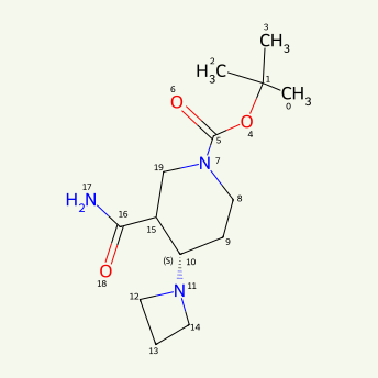 CC(C)(C)OC(=O)N1CC[C@H](N2CCC2)C(C(N)=O)C1